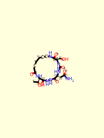 CC(O)[C@H]1NC(=O)CCCCCCNC(=O)[C@@H](CO)NC(=O)N[C@H](CC(N)=O)C(=O)NNC1=O